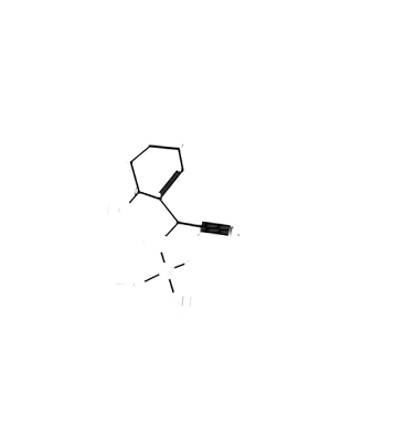 CC1CCCC=C1C(C#N)O[Si](C)(C)C